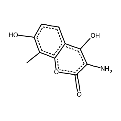 Cc1c(O)ccc2c(O)c(N)c(=O)oc12